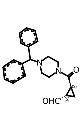 O=C[C@H]1C[C@@H]1C(=O)N1CCN(C(c2ccccc2)c2ccccc2)CC1